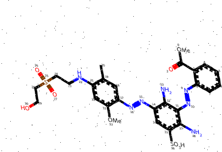 COC(=O)c1ccccc1/N=N/c1c(N)c(/N=N/c2cc(C)c(NCCS(=O)(=O)CCO)cc2OC)cc(S(=O)(=O)O)c1N